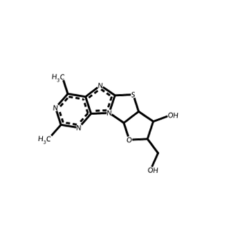 Cc1nc(C)c2nc3n(c2n1)C1OC(CO)C(O)C1S3